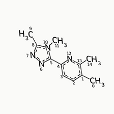 Cc1ccc(-c2nnc(C)n2C)nc1C